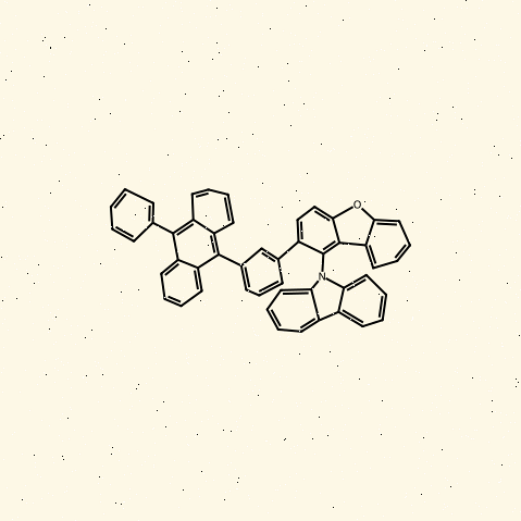 c1ccc(-c2c3ccccc3c(-c3cccc(-c4ccc5oc6ccccc6c5c4-n4c5ccccc5c5ccccc54)c3)c3ccccc23)cc1